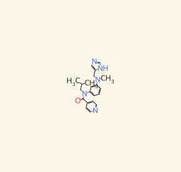 CC(C)CN(C(=O)c1ccncc1)c1cccc(N(C)Cc2cnc[nH]2)c1